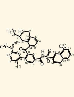 CCCN(CCC)c1ncc(Cl)c(-c2ccc(C(=O)NS(=O)(=O)c3ccc4cccc(Cl)c4c3)cc2C(=O)c2cccc3c2CC(CN)NC3)n1